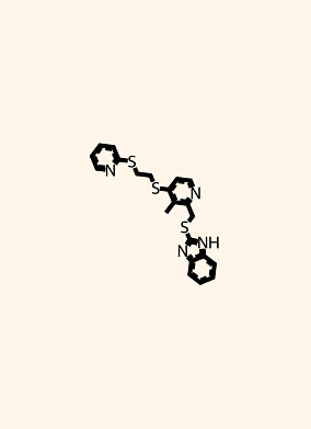 Cc1c(SCCSc2ccccn2)ccnc1CSc1nc2ccccc2[nH]1